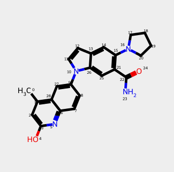 Cc1cc(O)nc2ccc(-n3ccc4cc(N5CCCC5)c(C(N)=O)cc43)cc12